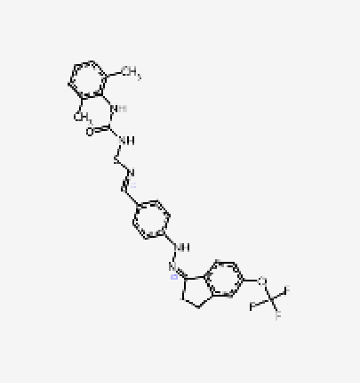 Cc1cccc(C)c1NC(=O)NS/N=C/c1ccc(N/N=C2/CCc3cc(OC(F)(F)F)ccc32)cc1